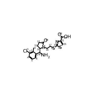 Cc1c(Cl)cccc1C(N)[C@H]1CCC(=O)N1CCSc1nc(C(=O)O)cs1